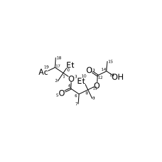 CCC(C)(OC(=O)C(C)C(C)(CC)OC(=O)C(C)O)C(C)C(C)=O